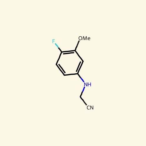 COc1cc(NCC#N)ccc1F